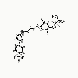 Cc1cc(OC(C)(C)C(=O)O)c(C)cc1OCCCNc1nc(-c2ccc(C(F)(F)F)cc2)cs1